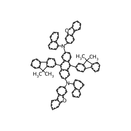 CC1(C)c2ccccc2-c2ccc(-c3c4ccc(N(c5ccc6c(c5)oc5ccccc56)c5cccc6ccccc56)cc4c(-c4ccc5c(c4)C(C)(C)c4ccccc4-5)c4ccc(N(c5ccc6c(c5)oc5ccccc56)c5cccc6ccccc56)cc34)cc21